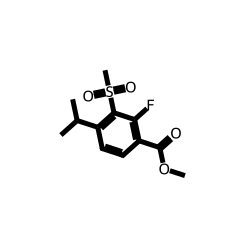 COC(=O)c1ccc(C(C)C)c(S(C)(=O)=O)c1F